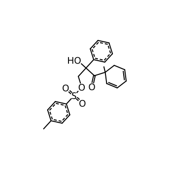 Cc1ccc(S(=O)(=O)OCC(O)(C(=O)C2(C)C=CC=CC2)c2ccccc2)cc1